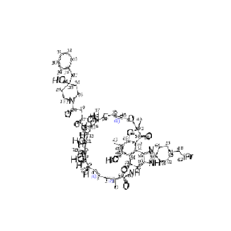 C/C1=C/C=C/[C@H](C)[C@H](O)[C@@H](C)[C@@H](O)[C@@H](C)[C@H](OC(=O)CC(=O)N2CCC(O)(Cc3ccccc3)CC2)[C@H](C)C/C=C/O[C@@]2(C)Oc3c(C)c(O)c4c(c3C2=O)C2=NC3(CCN(CC(C)C)CC3)NC2=C(NC1=O)C4=O